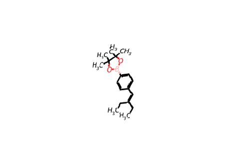 CCC(=Cc1ccc(B2OC(C)(C)C(C)(C)O2)cc1)CC